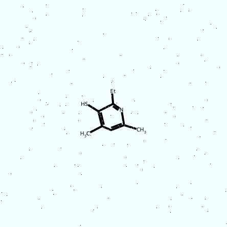 CCc1nc(C)cc(C)c1S